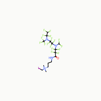 C[N+](C)(CI)CCCNC(=O)C(F)(F)C(F)(F)N(C(F)F)C(F)(F)C(F)(F)N(C(F)(F)F)C(F)(F)C(F)F